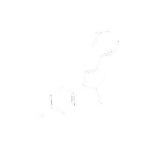 O=CNc1cc(-c2cccnc2)nn1-c1ccc([N+](=O)[O-])cc1